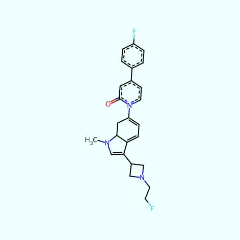 CN1C=C(C2CN(CCF)C2)C2=CC=C(n3ccc(-c4ccc(F)cc4)cc3=O)CC21